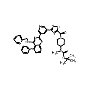 CN(C(=O)OC(C)(C)C)C1CCN(C(=O)c2nc(-c3cncc(-c4nc(NCc5ccccn5)c5c(-c6ccccc6)cccc5n4)c3)no2)CC1